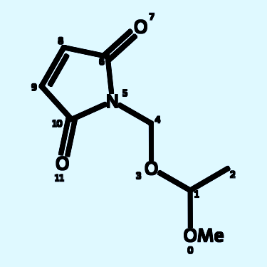 COC(C)OCN1C(=O)C=CC1=O